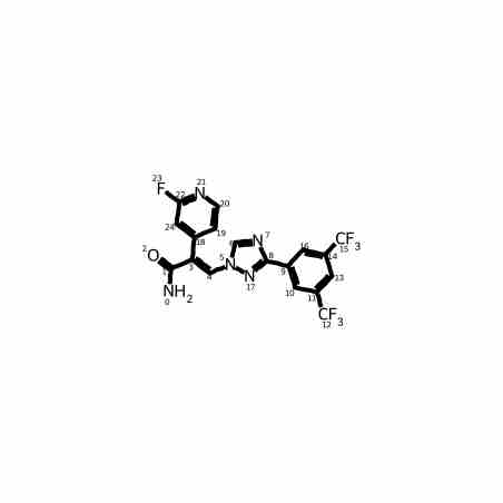 NC(=O)/C(=C/n1cnc(-c2cc(C(F)(F)F)cc(C(F)(F)F)c2)n1)c1ccnc(F)c1